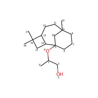 CC(CO)OC12CCCC(C)(CCC3C1CC3(C)C)C2